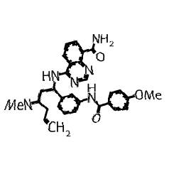 C=CCC(CC(Nc1ncnc2c(C(N)=O)cccc12)c1cccc(NC(=O)c2ccc(OC)cc2)c1)NC